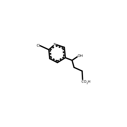 O=C(O)CCC(O)c1ccc(Cl)nc1